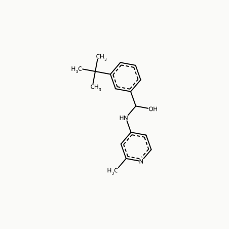 Cc1cc(NC(O)c2cccc(C(C)(C)C)c2)ccn1